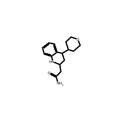 NC(=O)CC1CC(C2CCOCC2)c2ccccc2N1